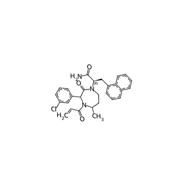 C=CC(=O)N1C(C)CCN([C@H](Cc2cccc3ccccc23)C(N)=O)C(=O)C1c1cccc(Cl)c1